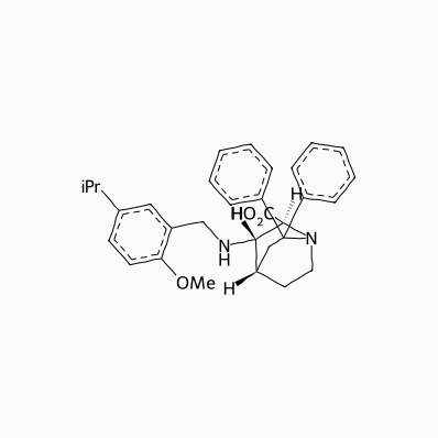 COc1ccc(C(C)C)cc1CN[C@H]1[C@H]2CCN([C@@H]1C(=O)O)C(c1ccccc1)(c1ccccc1)C2